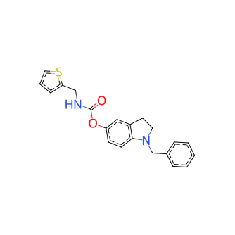 O=C(NCc1cccs1)Oc1ccc2c(c1)CCN2Cc1ccccc1